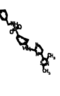 Cc1nc(C)c(-c2ccnc(Nc3ccc(S(=O)(=O)NCc4ccccc4)cc3)n2)s1